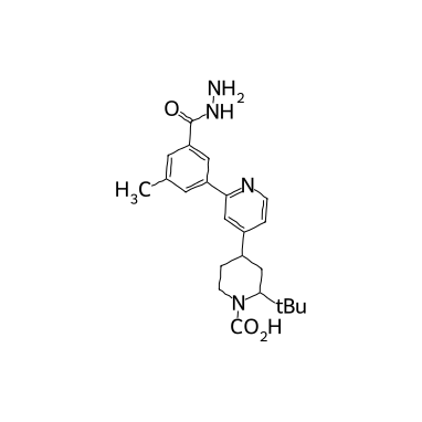 Cc1cc(C(=O)NN)cc(-c2cc(C3CCN(C(=O)O)C(C(C)(C)C)C3)ccn2)c1